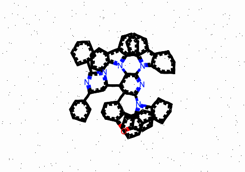 c1ccc(-c2cc(-c3c(-c4cccc5oc6ccccc6c45)c(-n4c5ccccc5c5ccccc54)nc(-n4c5ccccc5c5ccccc54)c3-n3c4ccccc4c4ccccc43)nc(-c3ccccc3)n2)cc1